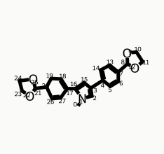 Cn1cc(-c2ccc(C3OCCO3)cc2)cc1C1=CCC(C2OCCO2)C=C1